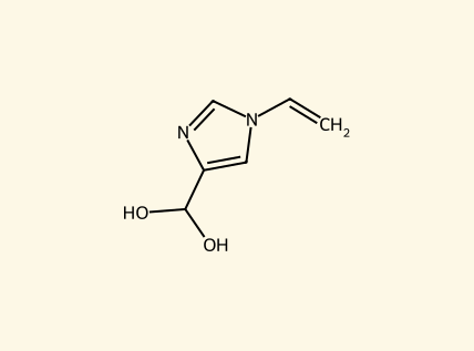 C=Cn1cnc(C(O)O)c1